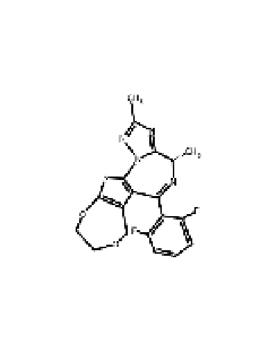 Cc1nc2n(n1)-c1sc3c(c1C(c1c(F)cccc1F)=N[C@H]2C)COCCO3